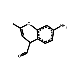 CC1=CC(C=O)c2ccc(N)cc2O1